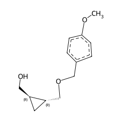 COc1ccc(COC[C@@H]2C[C@H]2CO)cc1